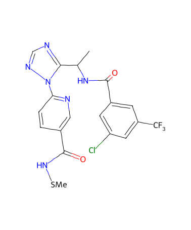 CSNC(=O)c1ccc(-n2ncnc2C(C)NC(=O)c2cc(Cl)cc(C(F)(F)F)c2)nc1